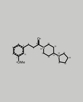 COc1cccc(CCC(=O)N2CCC(N3CCCC3)CC2)c1